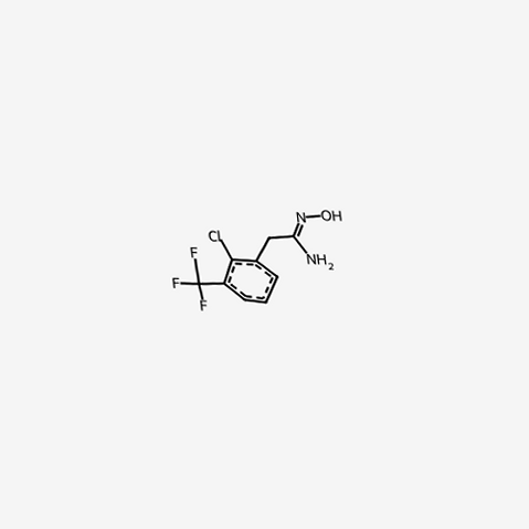 N/C(Cc1cccc(C(F)(F)F)c1Cl)=N\O